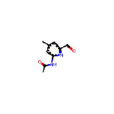 CC(=O)Nc1cc(C)cc(C=O)n1